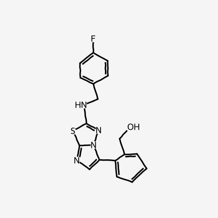 OCc1ccccc1-c1cnc2sc(NCc3ccc(F)cc3)nn12